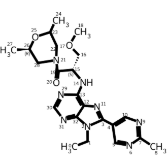 CCn1c(-c2cnc(C)nc2)nc2c(N[C@@H](COC)C(=O)N3CC(C)O[C@H](C)C3)ncnc21